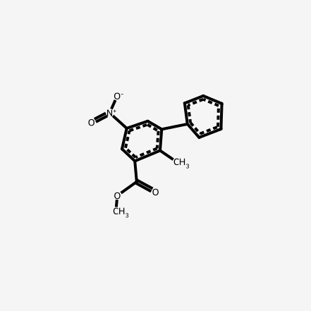 COC(=O)c1cc([N+](=O)[O-])cc(-c2ccccc2)c1C